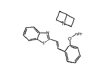 C1CN2CCC12.CCCOc1ccccc1C=Cc1nc2ccccc2s1